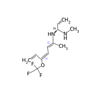 C=C/C(=C\C=C(/C)N[C@@H](C=C)NC)OC(F)(F)F